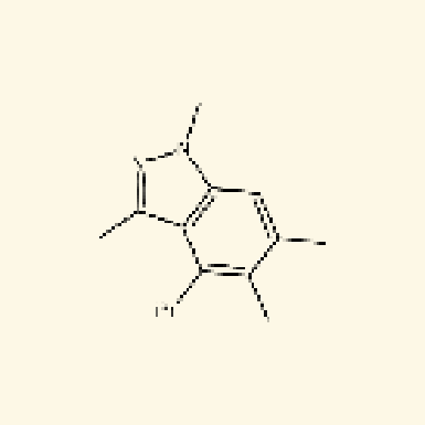 Cc1cc2c(c(C)nn2C)c(C(C)C)c1C